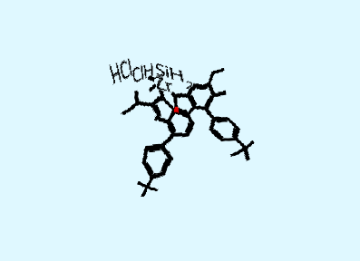 CCc1cc2c(c(-c3ccc(C(C)(C)C)cc3)c1C)C=C(C)[CH]2[Zr]([CH3])([CH3])(=[SiH2])[CH]1C(C(C)C)=Cc2c(-c3ccc(C(C)(C)C)cc3)cccc21.Cl.Cl